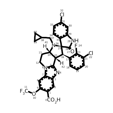 O=C(O)c1cc2nc3n(c2cc1OC(F)(F)F)CC[C@H]1[C@@H]3[C@H](c2cccc(Cl)c2F)[C@]2(C(=O)Nc3cc(Cl)ccc32)N1CC1CC1